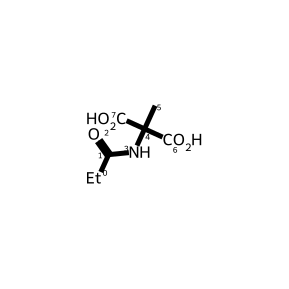 CCC(=O)NC(C)(C(=O)O)C(=O)O